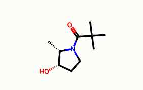 C[C@H]1[C@@H](O)CCN1C(=O)C(C)(C)C